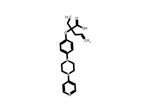 C=CCC(CC)(Oc1ccc(N2CCN(c3ccncc3)CC2)cc1)C(=O)O